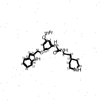 CCCOc1cc(NC(=O)NCCC2CCNCC2)cc(OCc2cc3ccccc3[nH]2)c1